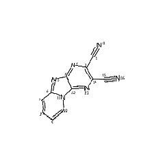 N#Cc1nc2nc3ccccn3c2nc1C#N